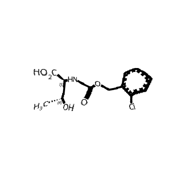 C[C@@H](O)[C@H](NC(=O)OCc1ccccc1Cl)C(=O)O